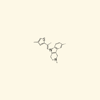 C/C(=C\n1c2c(c3cc(C)ccc31)CN(C)CC2)c1cc(C)cs1